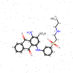 Nc1c(S(=O)(=O)O)cc(Nc2cccc(S(=O)(=O)CCNCCS(=O)(=O)O)c2)c2c1C(=O)c1ccccc1C2=O